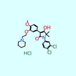 COc1ccc(C2=C(O)C(C)(C)N(c3ccc(Cl)c(Cl)c3)C2=O)cc1OCCN1CCCCC1.Cl